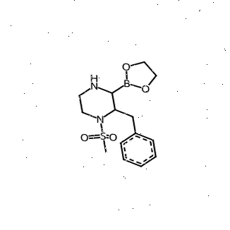 CS(=O)(=O)N1CCNC(B2OCCO2)C1Cc1ccccc1